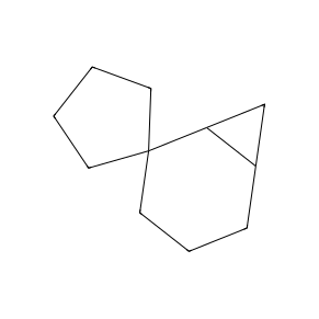 C1CCC2(C1)CCCC1CC12